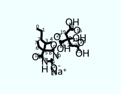 CCCC(C)C1(CC)C(=O)N=C([O-])NC1=O.O=C(O)CC(O)(CC(=O)O)C(=O)O.[Na+]